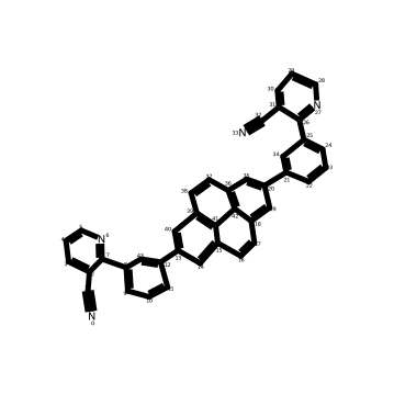 N#Cc1cccnc1-c1cccc(-c2cc3ccc4cc(-c5cccc(-c6ncccc6C#N)c5)cc5ccc(c2)c3c45)c1